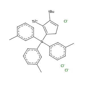 Cc1cccc([Si](C2=[C]([Ti+3])C(C(C)(C)C)=CC2)(c2cccc(C)c2)c2cccc(C)c2)c1.[Cl-].[Cl-].[Cl-]